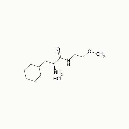 COCCNC(=O)[C@@H](N)CC1CCCCC1.Cl